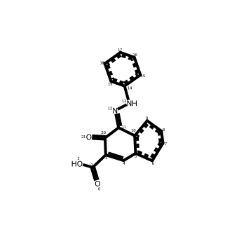 O=C(O)C1=Cc2ccccc2/C(=N\Nc2ccccc2)C1=O